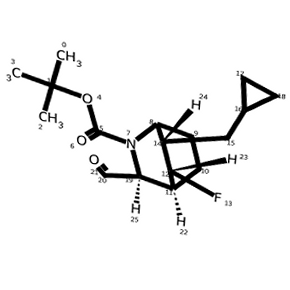 CC(C)(C)OC(=O)N1C2CC[C@H]([C@@H](F)[C@H]2CC2CC2)[C@H]1C=O